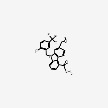 COCc1c[c]c2c3c(C(N)=O)cccc3n(Cc3cc(C(F)(F)F)ccc3F)c2c1